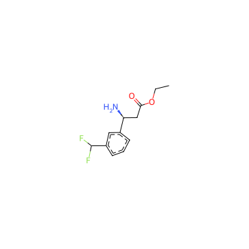 CCOC(=O)C[C@H](N)c1cccc(C(F)F)c1